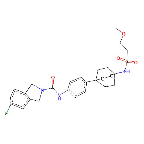 COCCS(=O)(=O)NC12CCC(c3ccc(NC(=O)N4Cc5ccc(F)cc5C4)cc3)(CC1)CC2